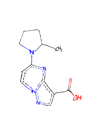 CC1CCCN1c1ccn2ncc(C(=O)O)c2n1